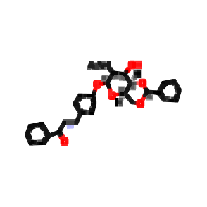 CC(=O)N[C@@H]1[C@H](Oc2ccc(/C=C/C(=O)c3ccccc3)cc2)O[C@@H]2CO[C@H](c3ccccc3)O[C@@H]2[C@@H]1O